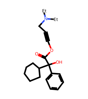 CCN(CC)CC#COC(=O)C(O)(c1ccccc1)C1CCCCC1